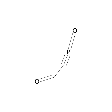 O=CC#P=O